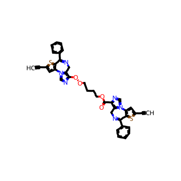 C#Cc1cc2c(s1)C(c1ccccc1)=NCc1c(OOCCCCOC(=O)c3ncn4c3CN=C(c3ccccc3)c3sc(C#C)cc3-4)ncn1-2